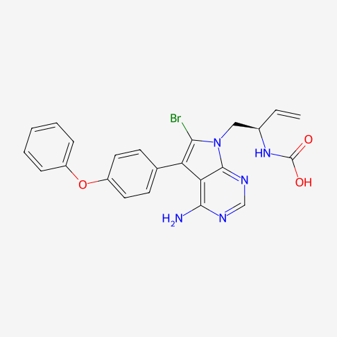 C=C[C@H](Cn1c(Br)c(-c2ccc(Oc3ccccc3)cc2)c2c(N)ncnc21)NC(=O)O